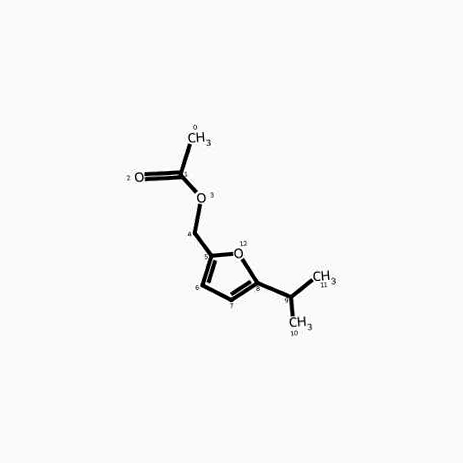 CC(=O)OCc1ccc(C(C)C)o1